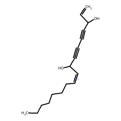 C=CC(O)C#CC#CC(O)/C=C\CCCCCCC